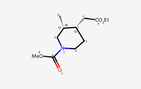 CCOC(=O)C[C@@H]1CCN(C(=O)OC)C[C@@H]1C